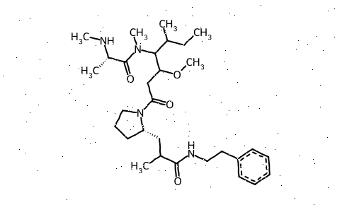 CCC(C)C(C(CC(=O)N1CCC[C@H]1CC(C)C(=O)NCCc1ccccc1)OC)N(C)C(=O)[C@H](C)NC